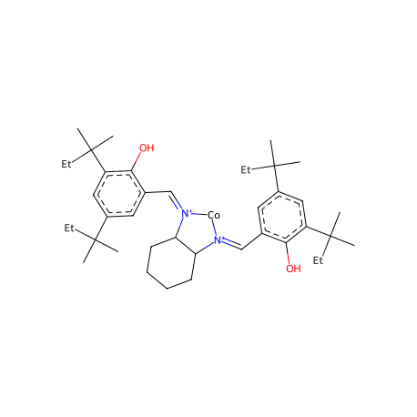 CCC(C)(C)c1cc(C=[N+]2[Co][N+](=Cc3cc(C(C)(C)CC)cc(C(C)(C)CC)c3O)C3CCCCC32)c(O)c(C(C)(C)CC)c1